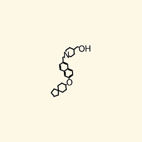 OCC1CCN(Cc2ccc3cc(OC4CCC5(CCCC5)CC4)ccc3c2)CC1